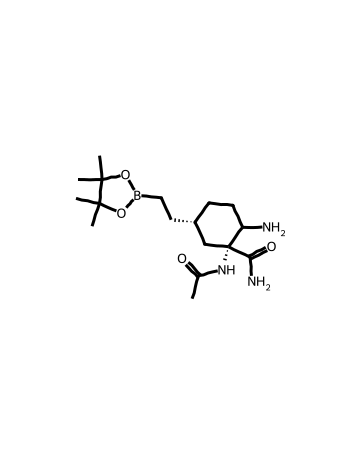 CC(=O)N[C@]1(C(N)=O)C[C@H](CCB2OC(C)(C)C(C)(C)O2)CCC1N